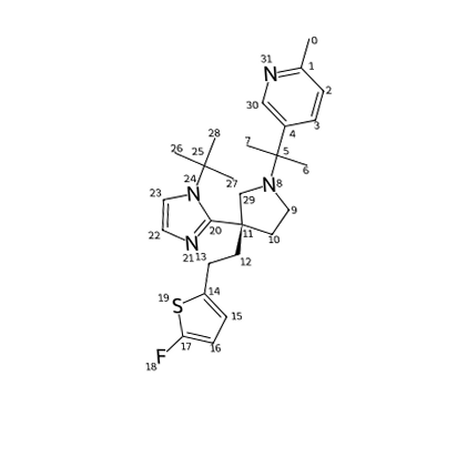 Cc1ccc(C(C)(C)N2CC[C@](CCc3ccc(F)s3)(c3nccn3C(C)(C)C)C2)cn1